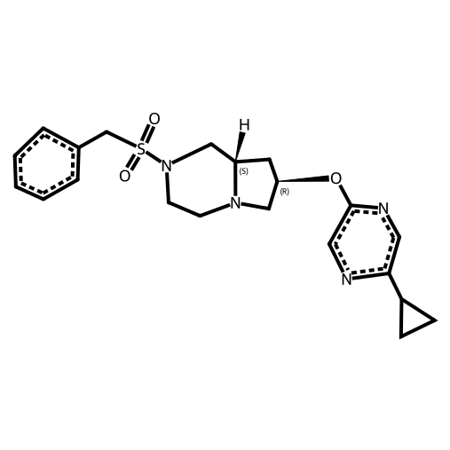 O=S(=O)(Cc1ccccc1)N1CCN2C[C@H](Oc3cnc(C4CC4)cn3)C[C@H]2C1